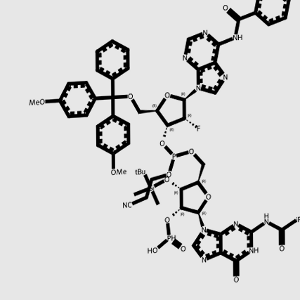 COc1ccc(C(OC[C@H]2O[C@@H](n3cnc4c(NC(=O)c5ccccc5)ncnc43)[C@H](F)[C@@H]2OP(OCCC#N)OC[C@H]2O[C@@H](n3cnc4c(=O)[nH]c(NC(=O)C(C)C)nc43)[C@H](O[PH](=O)O)[C@@H]2O[Si](C)(C)C(C)(C)C)(c2ccccc2)c2ccc(OC)cc2)cc1